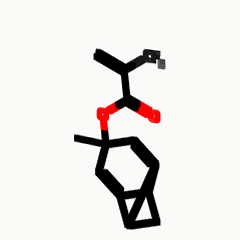 C=C(C(=O)OC1(C)C=C2C3CC2C3=C1)C(F)(F)F